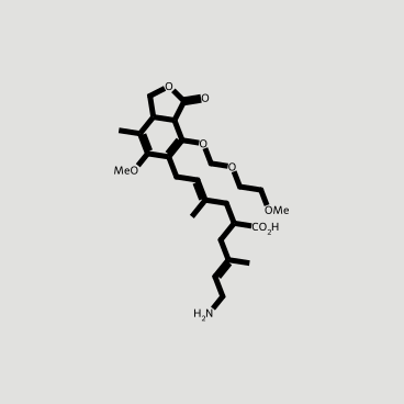 COCCOCOC1=C(C/C=C(\C)CC(C/C(C)=C/CN)C(=O)O)C(OC)=C(C)C2COC(=O)C12